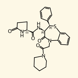 O=C1CC[C@@H](C(=O)N[C@@H]2C(=O)N(CC(=O)N3CCCCC3)c3ccccc3S[C@@H]2c2ccccc2)N1